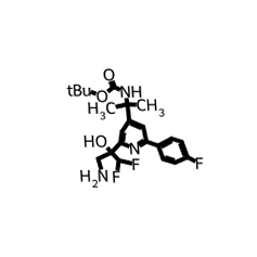 CC(C)(C)OC(=O)NC(C)(C)c1cc(-c2ccc(F)cc2)nc(C(O)(CN)C(F)F)c1